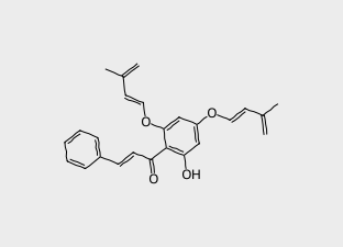 C=C(C)C=COc1cc(O)c(C(=O)/C=C/c2ccccc2)c(OC=CC(=C)C)c1